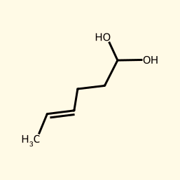 CC=CCCC(O)O